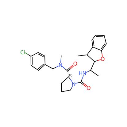 CC(NC(=O)N1CCC[C@@H]1C(=O)N(C)Cc1ccc(Cl)cc1)C1Oc2ccccc2C1C